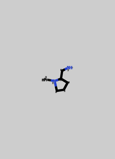 CCCN1CCCC1C[NH]